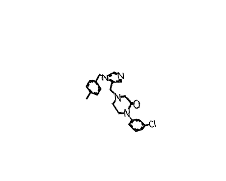 Cc1ccc(Cn2cncc2CN2CCN(c3cccc(Cl)c3)C(=O)C2)cc1